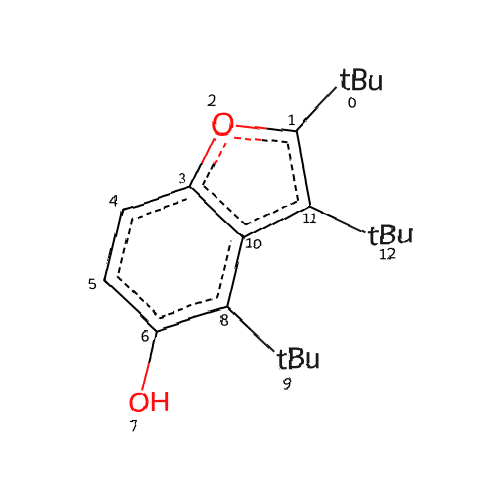 CC(C)(C)c1oc2ccc(O)c(C(C)(C)C)c2c1C(C)(C)C